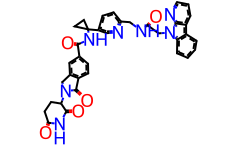 O=C(Cn1c2ccccc2c2cccnc21)NCc1ccc(C2(NC(=O)c3ccc4c(c3)CN(C3CCC(=O)NC3=O)C4=O)CC2)cn1